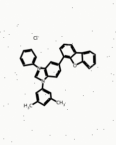 Cc1cc(C)cc(-n2c[n+](-c3ccccc3)c3cc(-c4cccc5c4oc4ccccc45)ccc32)c1.[Cl-]